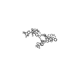 Cc1ncsc1-c1ccc(CNC(=O)[C@@H]2C[C@H](O)CN2C(=O)[C@H](C(C)C)N2Cc3ccccc3C2=O)c(OCCCOc2ccc(N3C(=S)N(c4ccc(C#N)c(C(F)(F)F)c4)C(=O)C3(C)C)cc2)c1